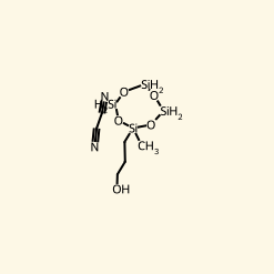 C[Si]1(CCCO)O[SiH2]O[SiH2]O[SiH2]O1.N#CC#N